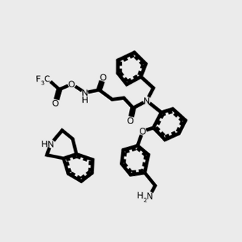 NCc1cccc(Oc2ccccc2N(Cc2ccccc2)C(=O)CCC(=O)NOC(=O)C(F)(F)F)c1.c1ccc2c(c1)CCNC2